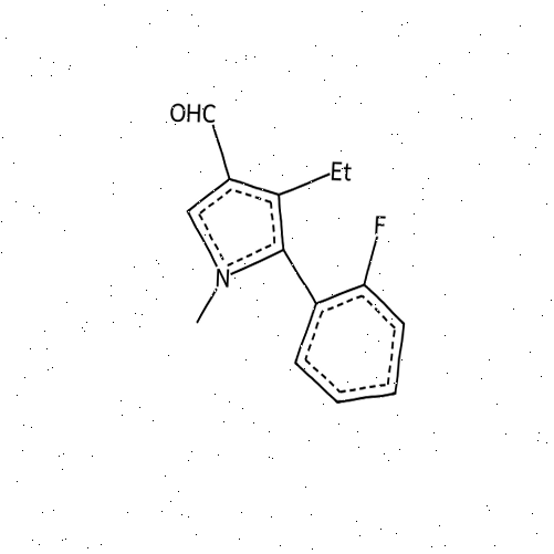 CCc1c(C=O)cn(C)c1-c1ccccc1F